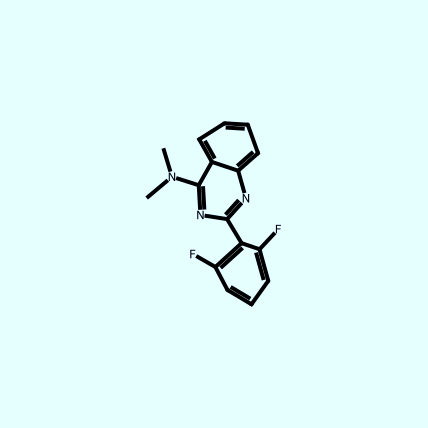 CN(C)c1nc(-c2c(F)cccc2F)nc2ccccc12